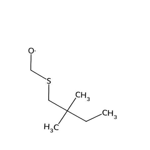 CCC(C)(C)CSC[O]